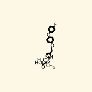 CC(C)(Sc1nc(CCOc2ccc(Oc3ccc(F)cc3)cc2)cs1)C(=O)O